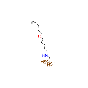 CC(C)CCCOCCCCCNC[SH](S)S